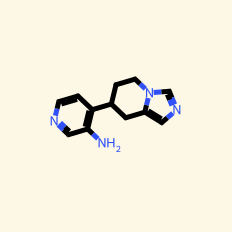 Nc1cnccc1C1CCn2cncc2C1